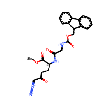 CC(C)(C)OC(=O)[C@H](CCC(=O)C=[N+]=[N-])NC(=O)CNC(=O)OCC1c2ccccc2-c2ccccc21